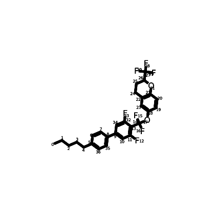 CCCCCc1ccc(-c2cc(F)c(C(F)(F)Oc3ccc4c(c3)CCC(C(F)(F)F)O4)c(F)c2)cc1